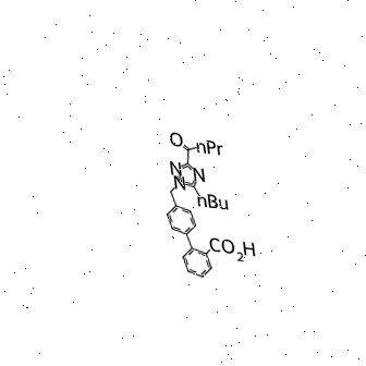 CCCCc1nc(C(=O)CCC)nn1Cc1ccc(-c2ccccc2C(=O)O)cc1